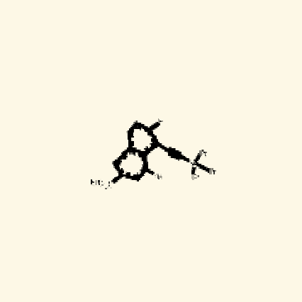 [2H]c1cc(C(=O)OCC)cc2ccc(F)c(C#C[Si](C(C)C)(C(C)C)C(C)C)c12